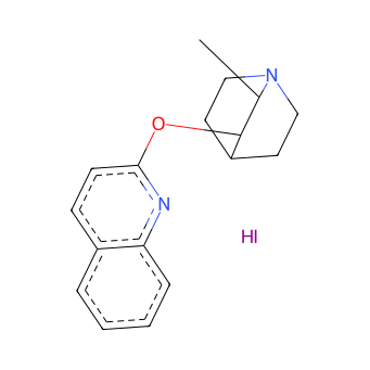 CC1C(Oc2ccc3ccccc3n2)C2CCN1CC2.I